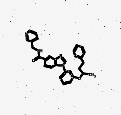 CC(CCc1ccccc1)Oc1cccc(-n2cnc3cc(C(=O)NCc4cccnc4)ccc32)c1